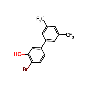 Oc1cc(-c2cc(C(F)(F)F)cc(C(F)(F)F)c2)ccc1Br